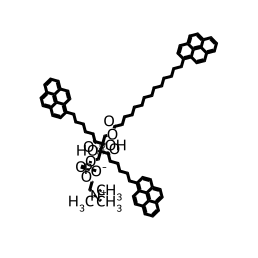 C[N+](C)(C)CCOP(=O)([O-])OC[C@@](O)(C(=O)CCCCCc1ccc2ccc3cccc4ccc1c2c34)[C@@](O)(COC(=O)CCCCCCCCCCCCCc1ccc2ccc3cccc4ccc1c2c34)C(=O)CCCCCc1ccc2ccc3cccc4ccc1c2c34